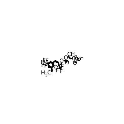 CCc1cc(S(F)(F)(F)(F)F)cc2c1O[C@@](COC(=O)OC(C)CO[N+](=O)[O-])(C(F)(F)F)C=C2